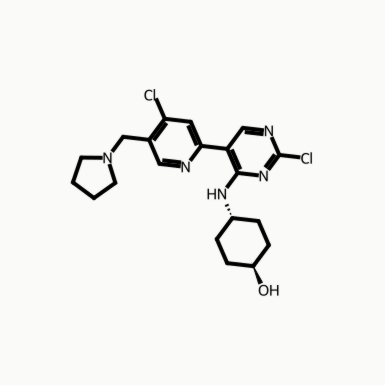 O[C@H]1CC[C@H](Nc2nc(Cl)ncc2-c2cc(Cl)c(CN3CCCC3)cn2)CC1